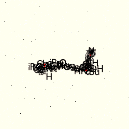 Cc1cc(Nc2ncc(Cl)c(Nc3ccccc3S(=O)(=O)C(C)C)n2)c(OC(C)C)cc1C1CCN(C(=O)CCOCCOCCOCCC(=O)N[C@H](C(=O)N2C[C@H](O)C[C@H]2C(=O)NCc2ccc(-c3scnc3C)cc2)C(C)(C)C)CC1